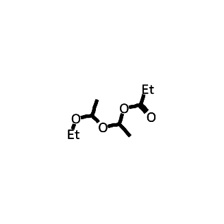 CCOC(C)OC(C)OC(=O)CC